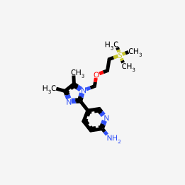 Cc1nc(-c2ccc(N)nc2)n(COCCS(C)(C)C)c1C